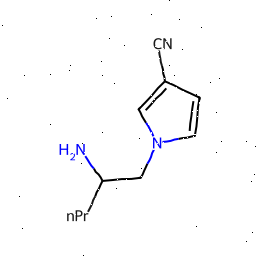 CCCC(N)Cn1ccc(C#N)c1